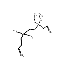 C=CCC[Si](C)(C)CO[Si](CC=C)(OC)OC